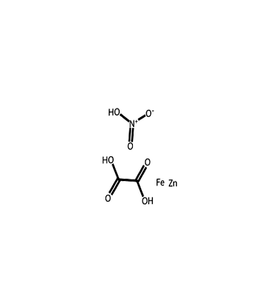 O=C(O)C(=O)O.O=[N+]([O-])O.[Fe].[Zn]